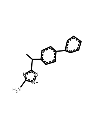 CC(c1ccc(-c2ccccc2)cc1)c1n[nH]c(N)n1